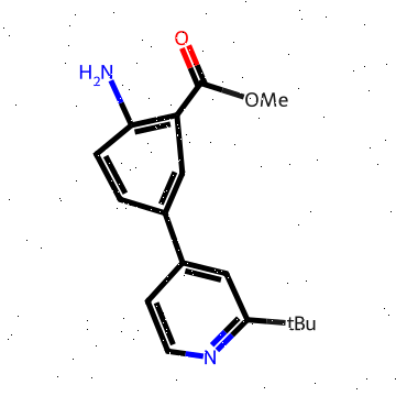 COC(=O)c1cc(-c2ccnc(C(C)(C)C)c2)ccc1N